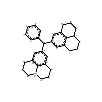 c1ccc(C(c2cc3c4c(c2)CCCN4CCC3)c2cc3c4c(c2)CCCN4CCC3)cc1